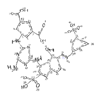 Nc1nc(Nc2cc(C(=O)O)cc(C(=O)O)c2)nc(Nc2cc(S(=O)(=O)O)cc3ccc(/N=N/c4cccc(S(=O)(=O)O)c4)c(O)c23)n1